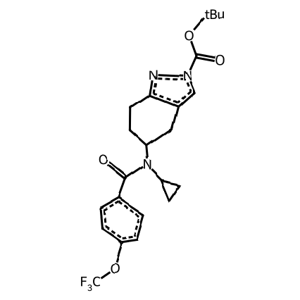 CC(C)(C)OC(=O)n1cc2c(n1)CCC(N(C(=O)c1ccc(OC(F)(F)F)cc1)C1CC1)C2